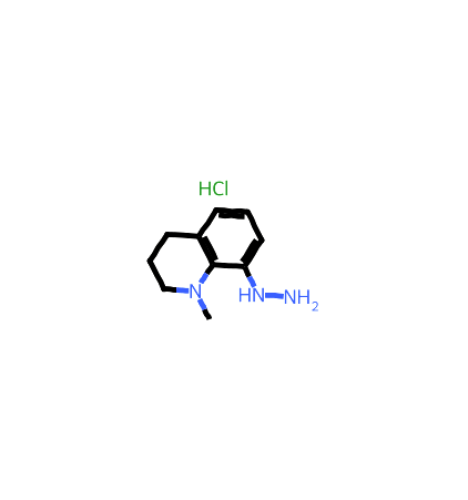 CN1CCCc2cccc(NN)c21.Cl